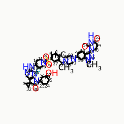 CC(c1cccc(S(=O)(=O)N2CC[C@H](Nc3ncc4c(n3)N([C@@H]3CCC[C@@H](O)C3)C(=O)C43CC3)[C@H](F)C2)c1)N1CCN(c2ccc3c(N4CCC(=O)NC4=O)nn(C)c3c2)C[C@H]1C